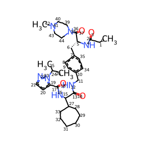 CCC(=O)N[C@H](Cc1ccc(CNC(=O)C(NC(=O)c2ccnn2C(C)C)C2CCCCCC2)cc1)C(=O)N1CCN(C)CC1